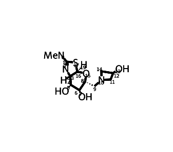 CNC1=N[C@@H]2[C@@H](O)[C@H](O)[C@@H](CN3CC(O)C3)O[C@@H]2S1